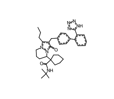 CCCc1c(Cc2ccc(-c3ccccc3-c3nnn[nH]3)cc2)c(=O)n2n1CCCC2C1(C(=O)NC(C)(C)C)CCCCC1